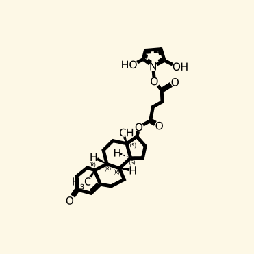 C[C@]12CCC(=O)C=C1CC[C@@H]1[C@H]2CC[C@]2(C)C(OC(=O)CCC(=O)On3c(O)ccc3O)CC[C@@H]12